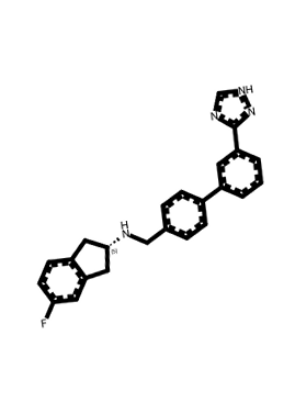 Fc1ccc2c(c1)C[C@@H](NCc1ccc(-c3cccc(-c4nc[nH]n4)c3)cc1)C2